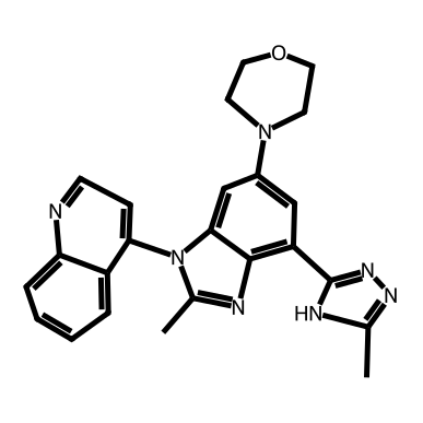 Cc1nnc(-c2cc(N3CCOCC3)cc3c2nc(C)n3-c2ccnc3ccccc23)[nH]1